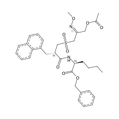 CCCC[C@H](NC(=O)[C@H](Cc1cccc2ccccc12)CS(=O)(=O)C/C(COC(C)=O)=N/OC)C(=O)OCc1ccccc1